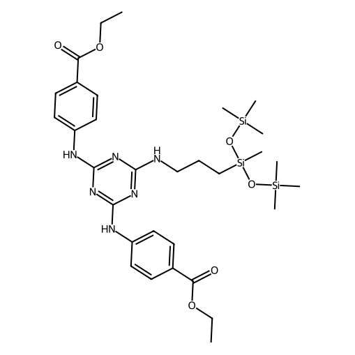 CCOC(=O)c1ccc(Nc2nc(NCCC[Si](C)(O[Si](C)(C)C)O[Si](C)(C)C)nc(Nc3ccc(C(=O)OCC)cc3)n2)cc1